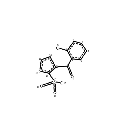 O=C(c1ccccc1Cl)c1ccsc1S(=O)(=O)Cl